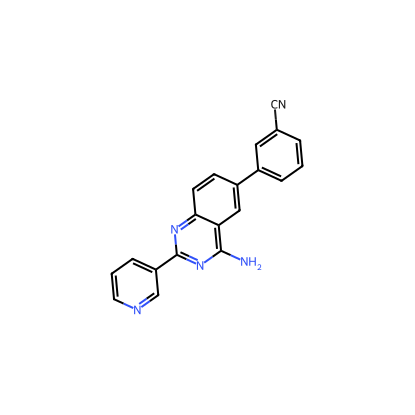 N#Cc1cccc(-c2ccc3nc(-c4cccnc4)nc(N)c3c2)c1